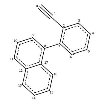 C#Cc1ccc[c]c1-c1cccc2ccccc12